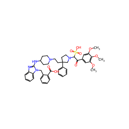 COc1cc(C(=O)C(N2CCC(CCN3CCC(Nc4nc5ccccc5n4Cc4ccccc4C(=O)O)CC3)(c3ccccc3)C2)S(=O)(=O)O)cc(OC)c1OC